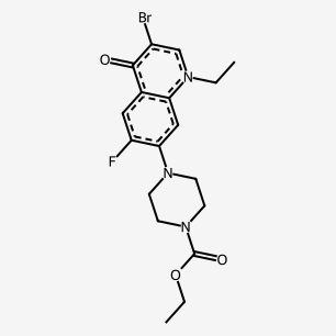 CCOC(=O)N1CCN(c2cc3c(cc2F)c(=O)c(Br)cn3CC)CC1